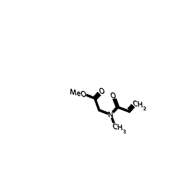 C=CC(=O)N(C)CC(=O)OC